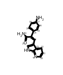 NC(=O)C(=Cc1c[nH]c2ncccc12)c1ccc(N)cc1